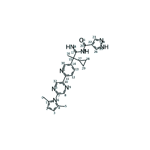 Cc1ccc(C)n1-c1cnc(-c2ccc(C(C)(C(=N)NC(=O)c3cn[nH]c3)C3CC3)cn2)cn1